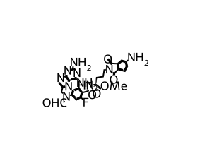 COC(=O)[C@H](CCCN1C(=O)c2ccc(N)cc2C1=O)NC(=O)c1ccc(N(C=O)Cc2cnc3nc(N)nc(N)c3n2)cc1F